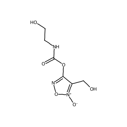 O=C(NCCO)Oc1no[n+]([O-])c1CO